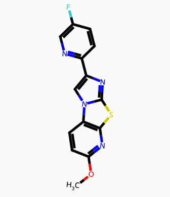 COc1ccc2c(n1)sc1nc(-c3ccc(F)cn3)cn12